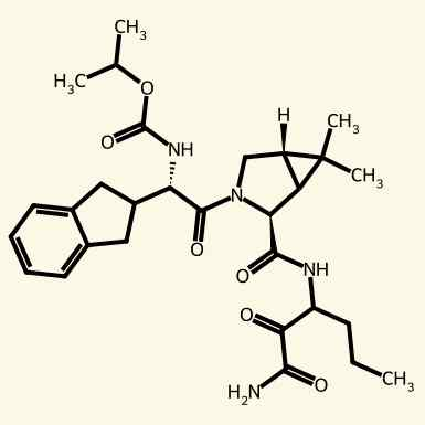 CCCC(NC(=O)[C@@H]1C2[C@H](CN1C(=O)[C@@H](NC(=O)OC(C)C)C1Cc3ccccc3C1)C2(C)C)C(=O)C(N)=O